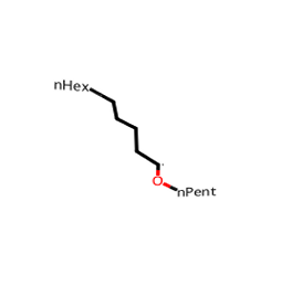 CCCCCCCCCC[CH]OCCCCC